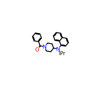 CC(C)N(c1cccc2ccccc12)C1CCN(C(=O)c2ccccc2)CC1